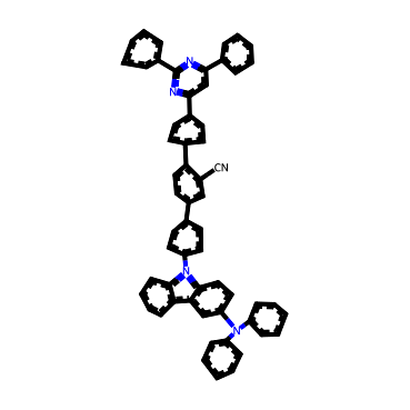 N#Cc1cc(-c2ccc(-n3c4ccccc4c4cc(N(c5ccccc5)c5ccccc5)ccc43)cc2)ccc1-c1ccc(-c2cc(-c3ccccc3)nc(-c3ccccc3)n2)cc1